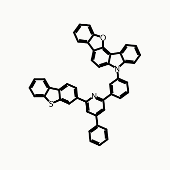 c1ccc(-c2cc(-c3cccc(-n4c5ccccc5c5c6oc7ccccc7c6ccc54)c3)nc(-c3ccc4c(c3)sc3ccccc34)c2)cc1